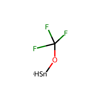 FC(F)(F)[O][SnH]